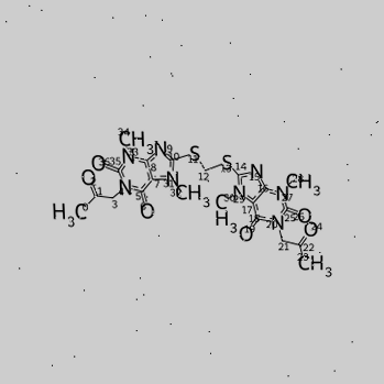 CC(=O)Cn1c(=O)c2c(nc(SCSc3nc4c(c(=O)n(CC(C)=O)c(=O)n4C)n3C)n2C)n(C)c1=O